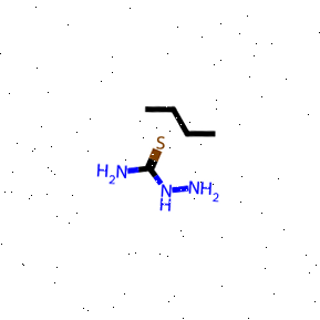 CCCC.NNC(N)=S